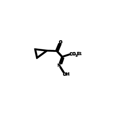 CCOC(=O)C(=NO)C(=O)C1CC1